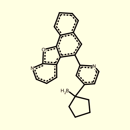 BC1(c2ccnc(-c3cc4ccccc4c4oc5ncccc5c34)c2)CCCC1